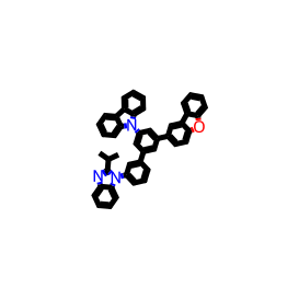 CC(C)c1nc2ccccc2n1-c1cccc(-c2cc(-c3ccc4oc5ccccc5c4c3)cc(-n3c4ccccc4c4ccccc43)c2)c1